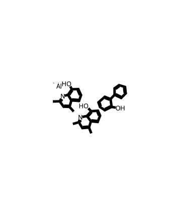 Cc1cc(C)c2cccc(O)c2n1.Cc1cc(C)c2cccc(O)c2n1.Oc1ccccc1-c1ccccc1.[Al]